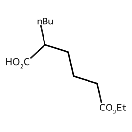 CCCCC(CCCC(=O)OCC)C(=O)O